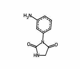 Nc1cccc(N2C(=O)CNC2=O)c1